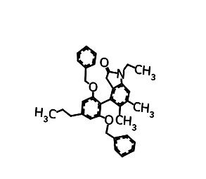 CCCc1cc(OCc2ccccc2)c(-c2c(C)c(C)cc3c2CC(=O)N3CC)c(OCc2ccccc2)c1